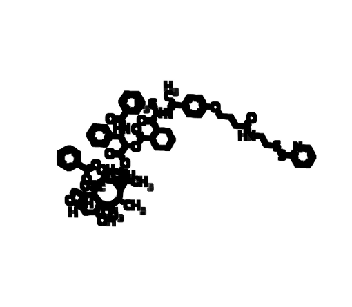 CC(=O)O[C@@]12CO[C@@H]1C[C@H](O)[C@@]1(C)C(=O)[C@H](C)C3=C(C)[C@@H](OC(=O)[C@H](OC(=O)C4CCCCC4C(=O)N(C)/N=C(\C)c4ccc(OCCCC(=O)NCCSSc5ccccn5)cc4)[C@@H](NC(=O)c4ccccc4)c4ccccc4)C[C@](O)([C@@H](OC(=O)c4ccccc4)[C@H]21)C3(C)C